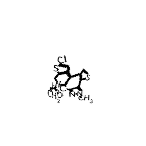 C=CC(=O)N1Cc2sc(Cl)cc2C(c2ccsc2-c2cn(C)nc2C)C1